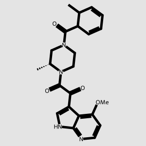 COc1ccnc2[nH]cc(C(=O)C(=O)N3CCN(C(=O)C4C=CC=CC4C)C[C@H]3C)c12